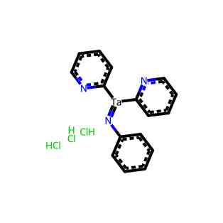 Cl.Cl.Cl.c1ccc([N]=[Ta]([c]2ccccn2)[c]2ccccn2)cc1